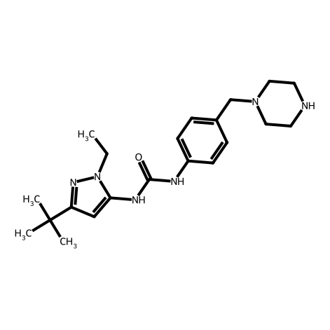 CCn1nc(C(C)(C)C)cc1NC(=O)Nc1ccc(CN2CCNCC2)cc1